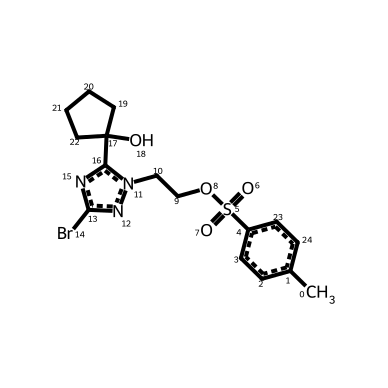 Cc1ccc(S(=O)(=O)OCCn2nc(Br)nc2C2(O)CCCC2)cc1